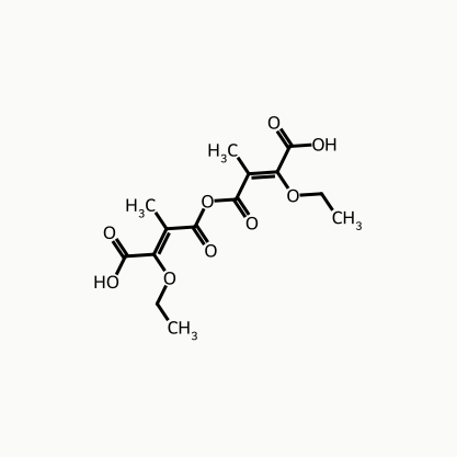 CCO/C(C(=O)O)=C(/C)C(=O)OC(=O)/C(C)=C(\OCC)C(=O)O